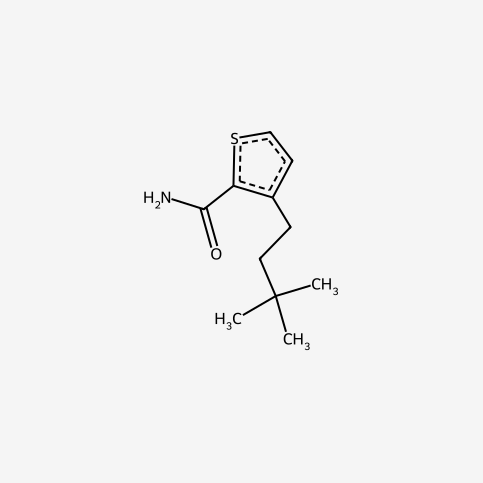 CC(C)(C)CCc1ccsc1C(N)=O